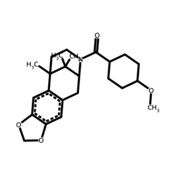 COC1CCC(C(=O)N2CCC3(C)c4cc5c(cc4CC2C3(C)C)OCO5)CC1